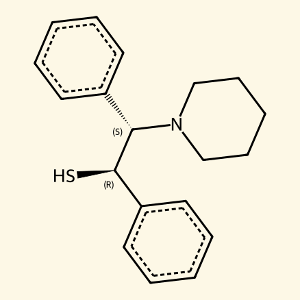 S[C@H](c1ccccc1)[C@H](c1ccccc1)N1CCCCC1